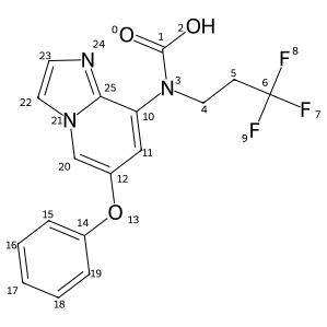 O=C(O)N(CCC(F)(F)F)c1cc(Oc2ccccc2)cn2ccnc12